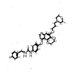 O=C(NCc1ccc(F)cc1)Nc1ccc(Oc2ncnc3cc(OCCCN4CCOCC4)c4c(c23)OCCO4)cc1